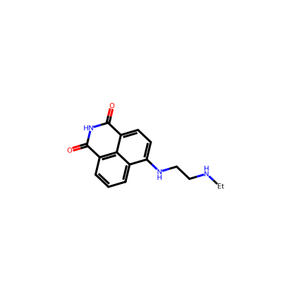 CCNCCNc1ccc2c3c(cccc13)C(=O)NC2=O